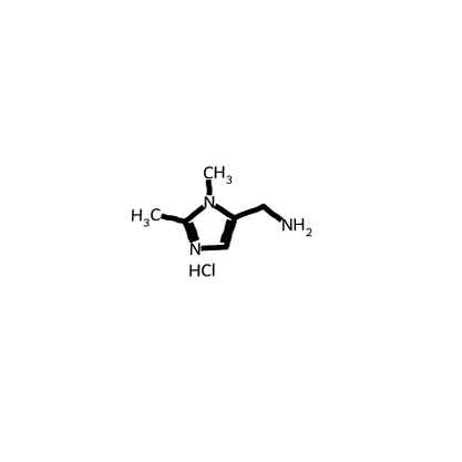 Cc1ncc(CN)n1C.Cl